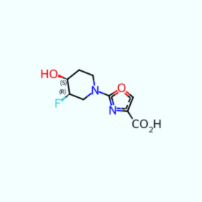 O=C(O)c1coc(N2CC[C@H](O)[C@H](F)C2)n1